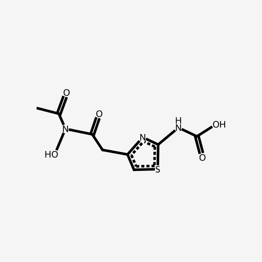 CC(=O)N(O)C(=O)Cc1csc(NC(=O)O)n1